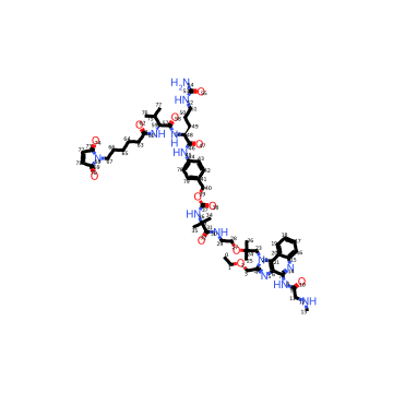 CCOCc1nc2c(NC(=O)CNC)nc3ccccc3c2n1CC(C)(C)OCCNC(=O)C(C)(C)NC(=O)OCc1ccc(NC(=O)[C@H](CCCNC(N)=O)NC(=O)[C@@H](NC(=O)CCCCCN2C(=O)C=CC2=O)C(C)C)cc1